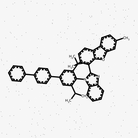 Cc1ccc2c(c1)oc1c(-c3nc4ccccc4n3-c3c(C(C)C)cc(-c4ccc(-c5ccccc5)cc4)cc3C(C)C)c(C)ccc12